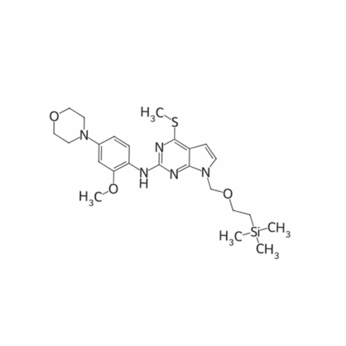 COc1cc(N2CCOCC2)ccc1Nc1nc(SC)c2ccn(COCC[Si](C)(C)C)c2n1